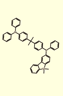 CC(C)(c1ccc(N(c2ccccc2)c2ccccc2)cc1)c1ccc(N(c2ccccc2)c2ccc3c(c2)-c2ccccc2[Si]3(C)C)cc1